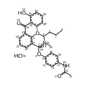 CCCC(Oc1c(C(=O)Oc2ccc(NC(C)=O)cc2)cccc1C(=O)c1ccccc1O)N(C)C.Cl